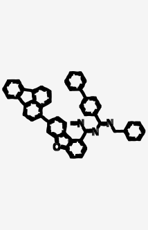 C=N/C(=N\C(=N/Cc1ccccc1)c1ccc(-c2ccccc2)cc1)c1cccc2oc3cc(-c4ccc5c6c(cccc46)-c4ccccc4-5)ccc3c12